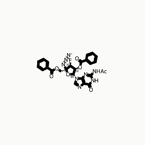 CC(=O)Nc1nc2c(ncn2[C@@H]2O[C@@](COC(=O)c3ccccc3)(N=[N+]=[N-])[C@@H](F)[C@H]2OC(=O)c2ccccc2)c(=O)[nH]1